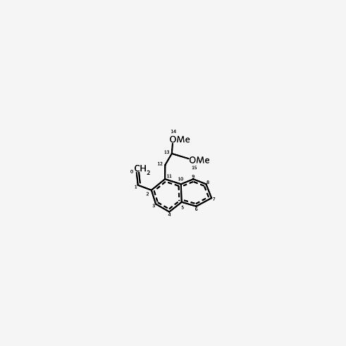 C=Cc1ccc2ccccc2c1CC(OC)OC